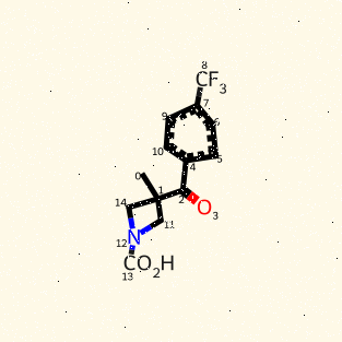 CC1(C(=O)c2ccc(C(F)(F)F)cc2)CN(C(=O)O)C1